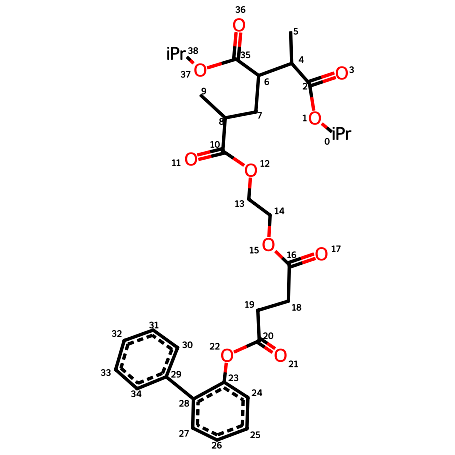 CC(C)OC(=O)C(C)C(CC(C)C(=O)OCCOC(=O)CCC(=O)Oc1ccccc1-c1ccccc1)C(=O)OC(C)C